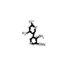 COc1cncc(-c2cnc(Cl)cc2N)c1N